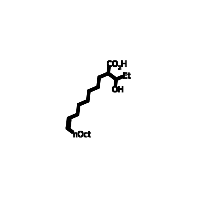 CCCCCCCC/C=C\CCCCCCC(C(=O)O)C(O)CC